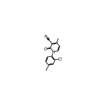 Cc1ccn(-c2ccc(F)cc2Cl)c(=O)c1C#N